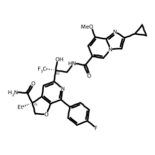 CC[C@@]1(C(N)=O)COc2c1cc([C@@](O)(CNC(=O)c1cc(OC)c3nc(C4CC4)cn3c1)C(F)(F)F)nc2-c1ccc(F)cc1